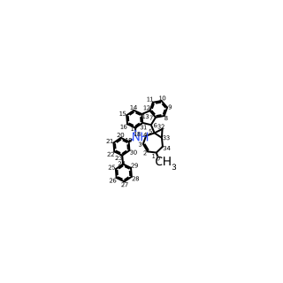 CC1C=CCC2(C3c4ccccc4-c4cccc(Nc5cccc(-c6ccccc6)c5)c43)CC2C1